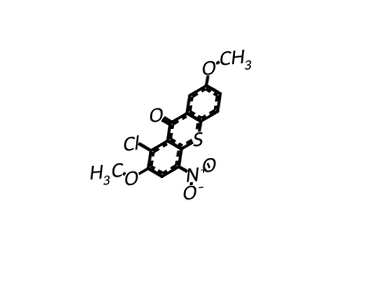 COc1ccc2sc3c([N+](=O)[O-])cc(OC)c(Cl)c3c(=O)c2c1